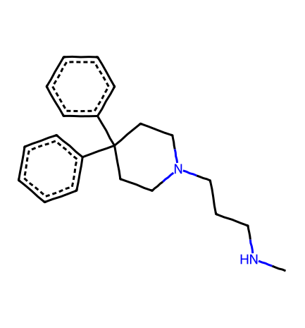 CNCCCN1CCC(c2ccccc2)(c2ccccc2)CC1